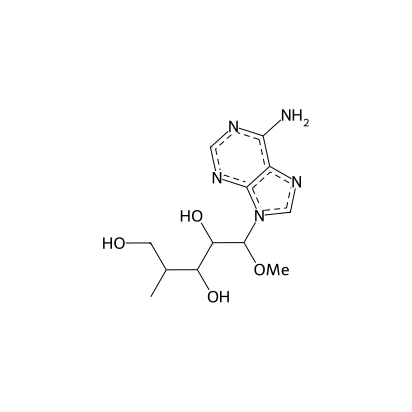 COC(C(O)C(O)C(C)CO)n1cnc2c(N)ncnc21